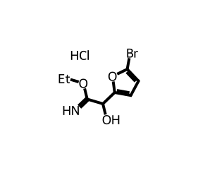 CCOC(=N)C(O)c1ccc(Br)o1.Cl